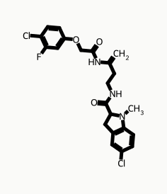 C=C(CCNC(=O)C1Cc2cc(Cl)ccc2N1C)NC(=O)COc1ccc(Cl)c(F)c1